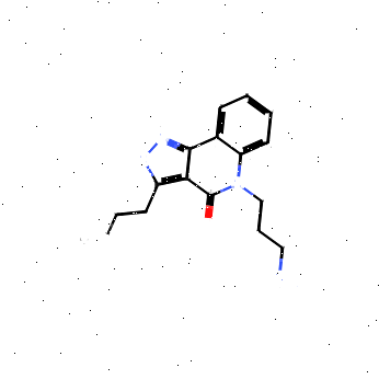 COCCc1[nH]nc2c1c(=O)n(CCCN)c1ccccc21